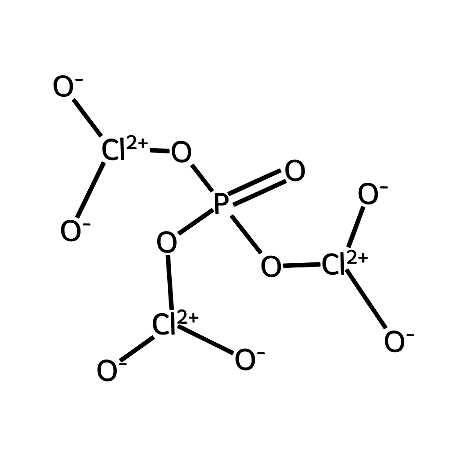 O=P(O[Cl+2]([O-])[O-])(O[Cl+2]([O-])[O-])O[Cl+2]([O-])[O-]